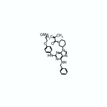 C=C(C)C(=O)N1CCCC(n2cnc3c(NCc4ccccc4)nc(Nc4ccc(OCCOC)cc4)nc32)C1